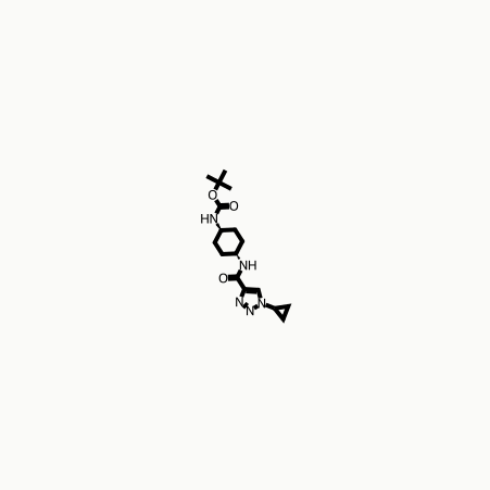 CC(C)(C)OC(=O)N[C@H]1CC[C@H](NC(=O)c2cn(C3CC3)nn2)CC1